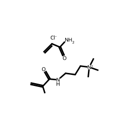 C=C(C)C(=O)NCCC[N+](C)(C)C.C=CC(N)=O.[Cl-]